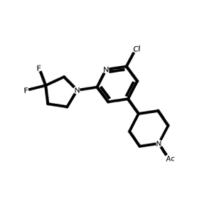 CC(=O)N1CCC(c2cc(Cl)nc(N3CCC(F)(F)C3)c2)CC1